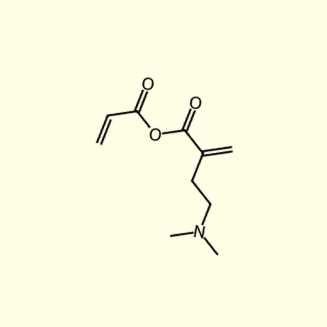 C=CC(=O)OC(=O)C(=C)CCN(C)C